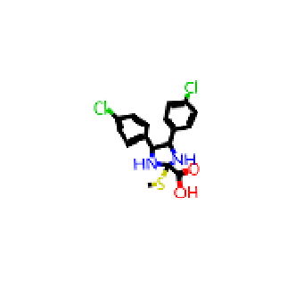 CSC1(C(=O)O)NC(c2ccc(Cl)cc2)C(c2ccc(Cl)cc2)N1